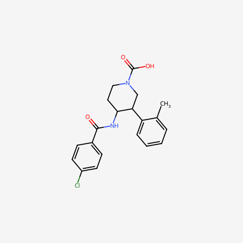 Cc1ccccc1C1CN(C(=O)O)CCC1NC(=O)c1ccc(Cl)cc1